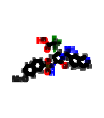 COc1ccc2ccc(S(=O)(=O)N[C@H]3CCN([C@@H](N)c4ccc5ccncc5c4)C3=O)cc2c1.O=C(O)C(F)(F)F